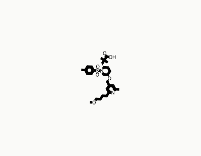 COCCCCc1cc(CO[C@@H]2CC[C@@H](CC(C)(C)C(=O)O)N(S(=O)(=O)c3ccc(C)cc3)C2)cc(C)n1